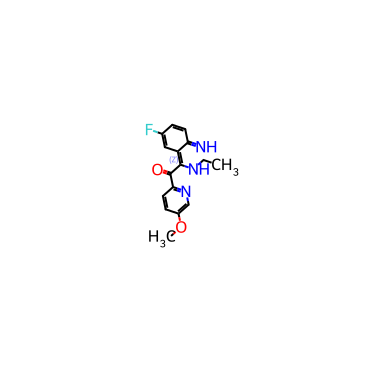 CCN/C(C(=O)c1ccc(OC)cn1)=C1/C=C(F)C=CC1=N